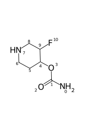 NC(=O)OC1CCNCC1F